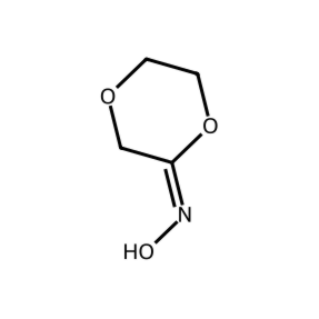 ON=C1COCCO1